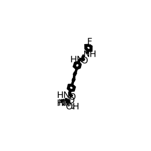 NC[C@H](NC(=O)c1ccc(C#CC#Cc2ccc(NC(=O)CNc3ccc(F)cc3)cc2)cc1)C(=O)NO